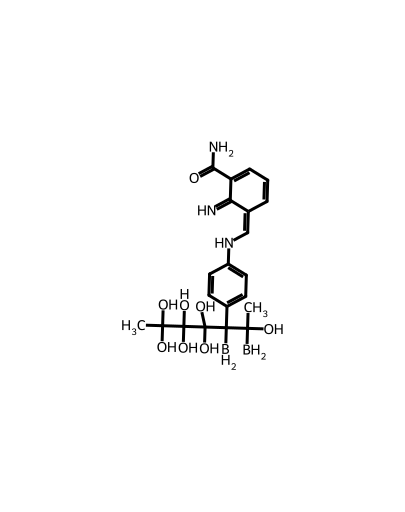 BC(C)(O)C(B)(c1ccc(N/C=C2/C=CC=C(C(N)=O)C2=N)cc1)C(O)(O)C(O)(O)C(C)(O)O